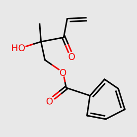 C=CC(=O)C(C)(O)COC(=O)c1ccccc1